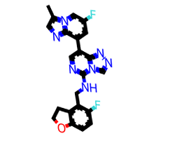 Cc1cnc2c(-c3cnc(NCc4c(F)ccc5c4CCO5)n4cnnc34)cc(F)cn12